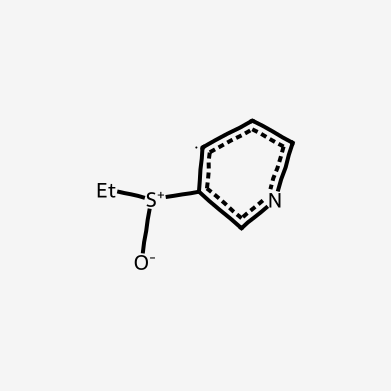 CC[S+]([O-])c1[c]ccnc1